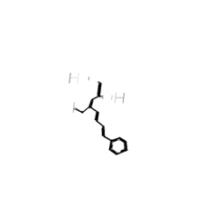 C\C=C(O)/C=C(\C=C\C=C\c1ccccc1)CI